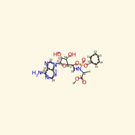 COC(=O)C(C)NP(=O)(Oc1ccccc1)OC(C)[C@H]1O[C@@H](n2cnc3c(N)ncnc32)C(O)C1O